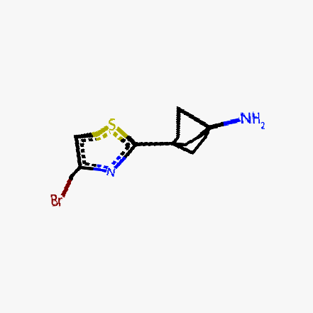 NC12CC(c3nc(Br)cs3)(C1)C2